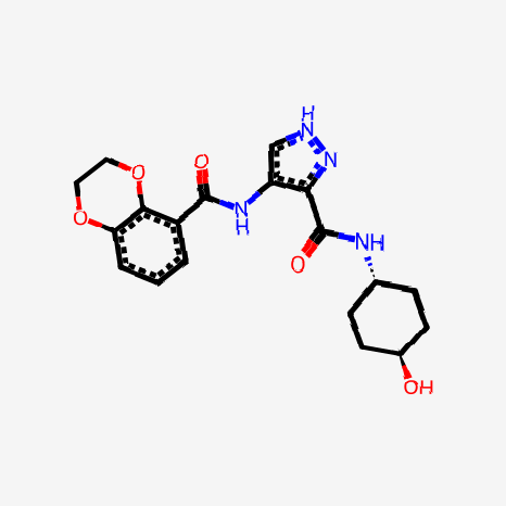 O=C(Nc1c[nH]nc1C(=O)N[C@H]1CC[C@H](O)CC1)c1cccc2c1OCCO2